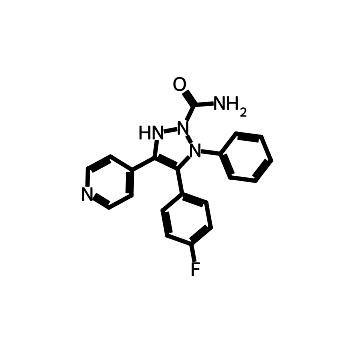 NC(=O)N1NC(c2ccncc2)=C(c2ccc(F)cc2)N1c1ccccc1